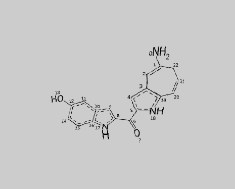 NC1=Cc2cc(C(=O)c3cc4cc(O)ccc4[nH]3)[nH]c2C=CC1